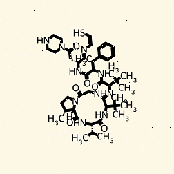 CC(C)[C@@H]1NC(=O)[C@@H]2[C@H](C)CCN2C(=O)CN/C(=N\C(C(=O)NC(C(=O)N[C@@H](/C=N/C=C\S)CC(=O)N2CCNCC2)[C@@H](C)c2ccccc2)C(C)(C)C)C(C(C)(C)C)NC1=O